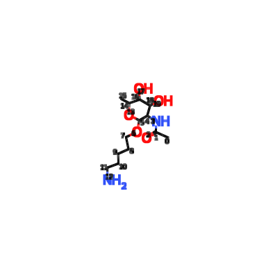 CC(=O)NC1C(OCCCCCN)OC(C)C(O)C1O